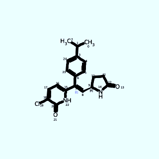 CC(C)c1ccc(/C(=C\[C@H]2CCC(=O)N2)c2ccc(Cl)c(=O)[nH]2)cc1